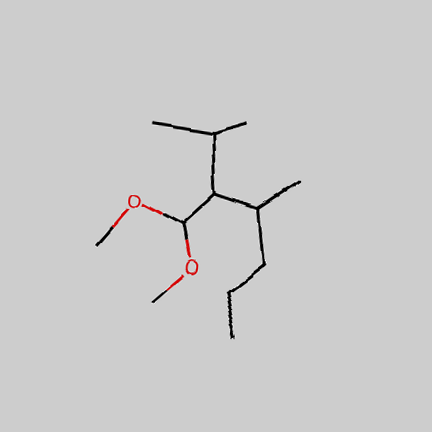 CCCC(C)C(C(C)C)C(OC)OC